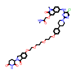 CNC(=O)COc1cc2cc(Nc3nc(N4CCC(c5ccc(OCCCOCCCOCCOc6ccc7c(c6)CN(C6CCC(=O)NC6=O)C7=O)cc5)CC4)ncc3Cl)ccc2n(C)c1=O